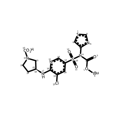 CC(C)(C)OC(=O)N(c1cscn1)S(=O)(=O)c1cnc(N[C@H]2CCN(C(=O)O)C2)c(Cl)c1